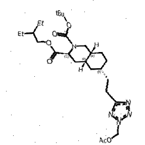 CCC(CC)COC(=O)[C@@H]1C[C@H]2C[C@@H](CCc3nnn(COC(C)=O)n3)CC[C@H]2CN1C(=O)OC(C)(C)C